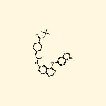 CC(C)(C)OC(=O)N1CCC(=CC(=O)Nc2ccc3ncnc(Nc4ccc5[nH]ccc5c4)c3c2)CC1